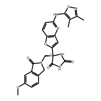 COc1ccc2c(c1)C(=O)N(C[C@@]1(c3cc4nc(Nc5onc(C)c5C)ccc4o3)NC(=O)NC1=O)C2